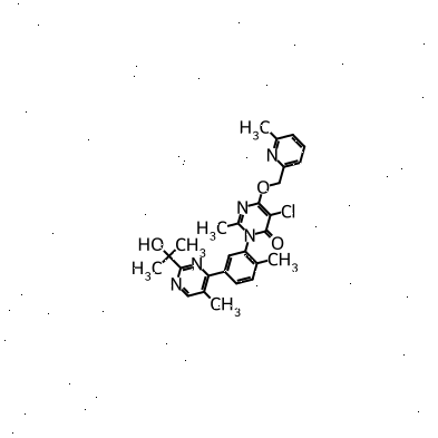 Cc1cccc(COc2nc(C)n(-c3cc(-c4nc(C(C)(C)O)ncc4C)ccc3C)c(=O)c2Cl)n1